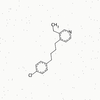 CCc1cnccc1CCCCc1ccc(Cl)cc1